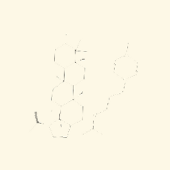 C=C(C)[C@@H]1CC[C@]2(CC(C)NCCCN3CCN(C)CC3)CC[C@]3(C)[C@H](CC[C@@H]4[C@@]5(C)CC[C@H](O)C(C)(C)[C@@H]5CC[C@]43C)[C@@H]12